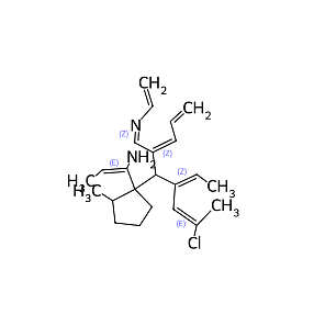 C=C/C=C(\C=N/C=C)C(C(=C/C)/C=C(\C)Cl)C1(/C(N)=C\C)CCCC1C